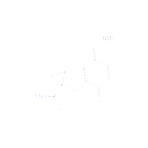 CNCc1ccc(Cl)c(CC2(C(N)=O)CC2)c1